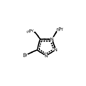 CCCc1c(Br)nnn1CCC